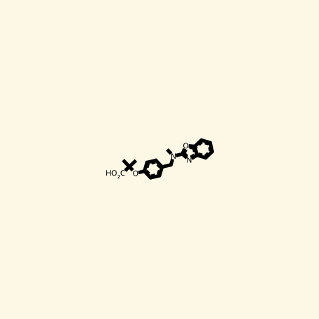 CN(Cc1ccc(OC(C)(C)C(=O)O)cc1)c1nc2ccccc2o1